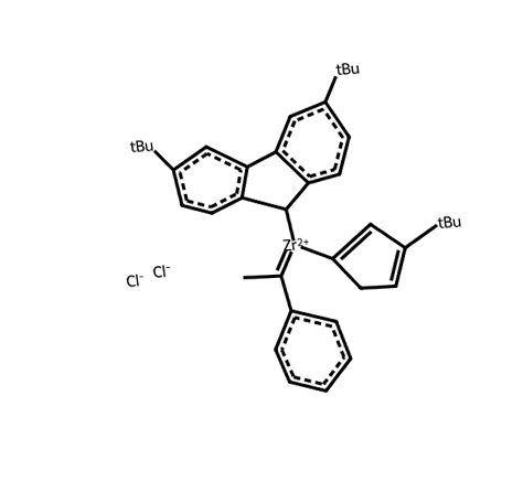 C/[C](c1ccccc1)=[Zr+2](/[C]1=CC(C(C)(C)C)=CC1)[CH]1c2ccc(C(C)(C)C)cc2-c2cc(C(C)(C)C)ccc21.[Cl-].[Cl-]